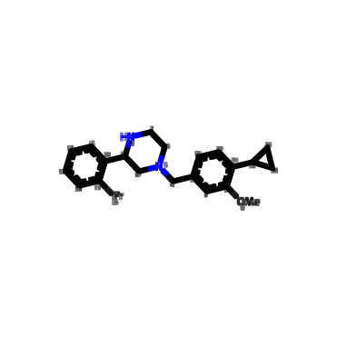 COc1cc(CN2CCNC(c3ccccc3C(C)C)C2)ccc1C1CC1